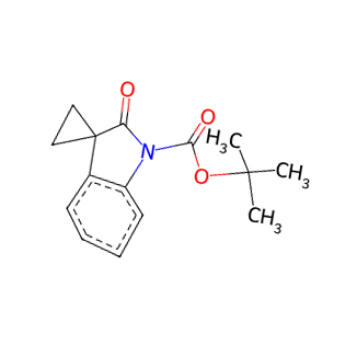 CC(C)(C)OC(=O)N1C(=O)C2(CC2)c2ccccc21